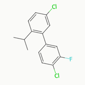 CC(C)c1ccc(Cl)cc1-c1ccc(Cl)c(F)c1